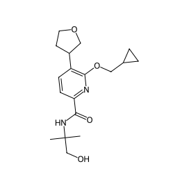 CC(C)(CO)NC(=O)c1ccc(C2CCOC2)c(OCC2CC2)n1